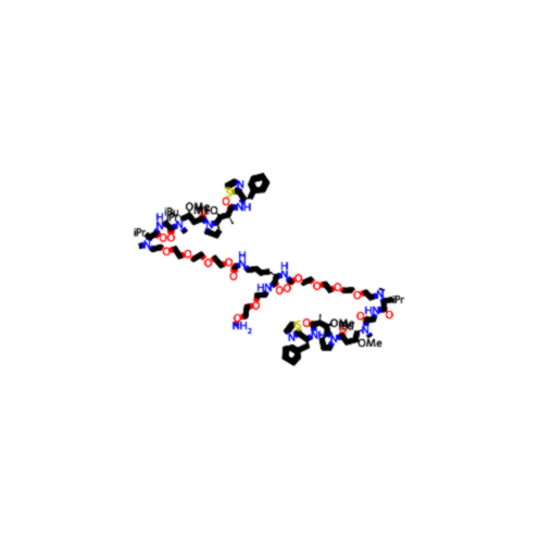 CC[C@H](C)[C@@H]([C@@H](CC(=O)N1CCC[C@H]1[C@H](OC)[C@@H](C)C(=O)N[C@@H](Cc1ccccc1)c1nccs1)OC)N(C)C(=O)CNC(=O)C(C(C)C)N(C)CCOCCOCCOCCOC(=O)N[C@@H](CCCCNC(=O)OCCOCCOCCOCCN(C)C(C(=O)N[C@H](C(=O)N(C)[C@@H]([C@@H](C)CC)[C@@H](CC(=O)N1CCC[C@H]1[C@H](OC)[C@@H](C)C(=O)N[C@@H](Cc1ccccc1)c1nccs1)OC)C(C)C)C(C)C)C(=O)NCCOCCON